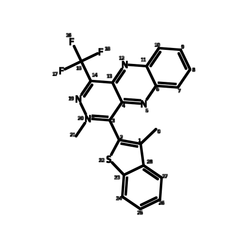 Cc1c(-c2c3nc4ccccc4nc3c(C(F)(F)F)n[n+]2C)sc2ccccc12